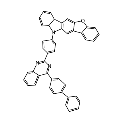 C1=CC2c3cc4oc5ccccc5c4cc3N(c3ccc(-c4nc(-c5ccc(-c6ccccc6)cc5)c5ccccc5n4)cc3)C2C=C1